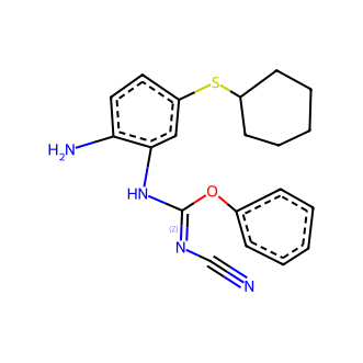 N#C/N=C(/Nc1cc(SC2CCCCC2)ccc1N)Oc1ccccc1